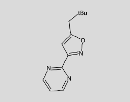 CC(C)(C)Cc1cc(-c2ncccn2)no1